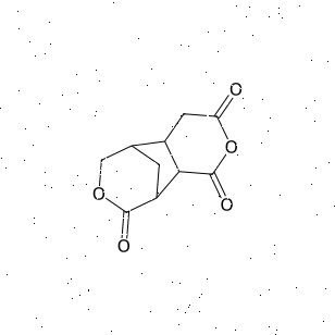 O=C1CC2C3COC(=O)C(C3)C2C(=O)O1